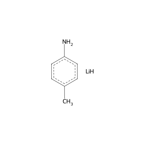 Cc1ccc(N)cc1.[LiH]